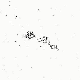 C=CCCOc1ccc(C2CCC(CCc3ccc(C(C)O)c(F)c3)CC2)c(F)c1F